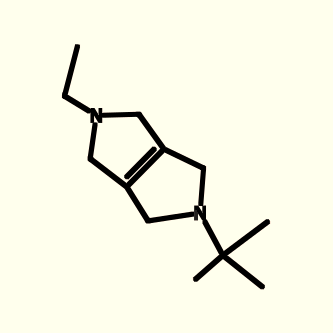 CCN1CC2=C(C1)CN(C(C)(C)C)C2